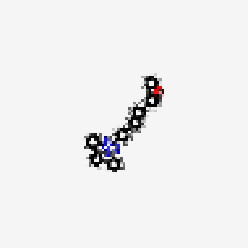 c1ccc(-c2nc(-c3ccc(-c4ccc5cc(-c6ccc7oc8ccccc8c7c6)ccc5c4)cc3)nc(-c3ccccc3-c3ccccc3)n2)cc1